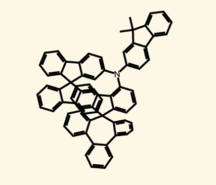 CC1(C)c2ccccc2-c2ccc(N(c3ccc4c(c3)C3(c5ccccc5-c5ccccc53)c3ccccc3-4)c3cccc4c3-c3ccccc3C43c4ccccc4-c4ccccc4-c4ccccc43)cc21